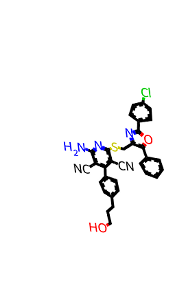 N#Cc1c(N)nc(SCc2nc(-c3ccc(Cl)cc3)oc2-c2ccccc2)c(C#N)c1-c1ccc(CCCO)cc1